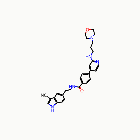 N#Cc1c[nH]c2ccc(CCNC(=O)c3ccc(-c4ccnc(NCCCN5CCOCC5)c4)cc3)cc12